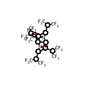 N#Cc1ccc(-c2ccc(-n3c4ccc(-c5cc(C(F)(F)F)cc(C(F)(F)F)c5)cc4c4cc(-c5cc(C(F)(F)F)cc(C(F)(F)F)c5)ccc43)c(-c3c(C#N)cccc3-n3c4ccc(-c5cc(C(F)(F)F)cc(C(F)(F)F)c5)cc4c4cc(-c5cc(C(F)(F)F)cc(C(F)(F)F)c5)ccc43)c2)c(C(F)(F)F)c1